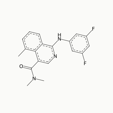 Cc1cccc2c(Nc3cc(F)cc(F)c3)ncc(C(=O)N(C)C)c12